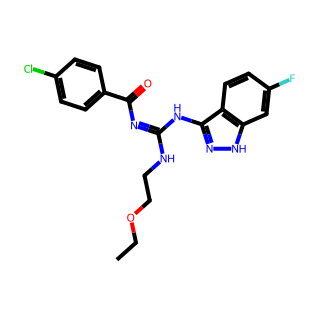 CCOCCN/C(=N/C(=O)c1ccc(Cl)cc1)Nc1n[nH]c2cc(F)ccc12